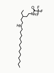 CCCCCCCCCCCCCNCCC(CC)CCNC(=O)C(F)(F)F